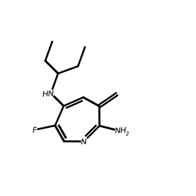 C=C1C=C(NC(CC)CC)C(F)=CN=C1N